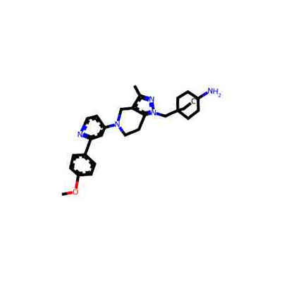 COc1ccc(-c2cc(N3CCc4c(c(C)nn4CC45CCC(N)(CC4)CC5)C3)ccn2)cc1